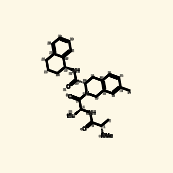 CN[C@@H](C)C(=O)N[C@H](C(=O)N1Cc2cc(C)ccc2C[C@H]1C(=O)N[C@H]1CCCc2ccccc21)C(C)(C)C